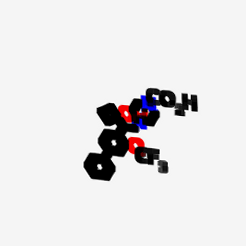 O=C(O)N1CCN(CC(c2ccc(-c3ccccc3)cc2OC(F)(F)F)C2(O)CCC2)CC1